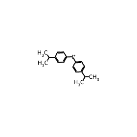 CC(C)c1ccc([I+]c2ccc(C(C)C)cc2)cc1